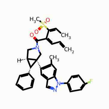 C=C/C=C(C(=O)N1C[C@@H]2[C@@H](c3ccccc3)[C@]2(c2cc3cnn(-c4ccc(F)cc4)c3cc2C)C1)\C(=C/C)S(C)(=O)=O